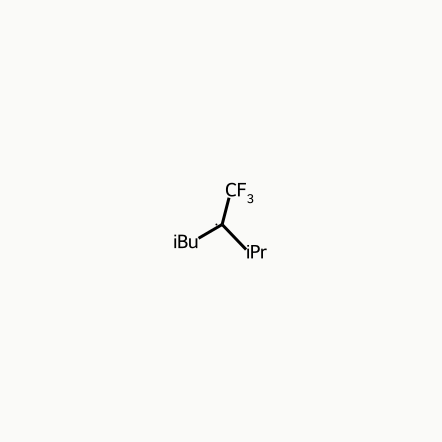 CCC(C)[C](C(C)C)C(F)(F)F